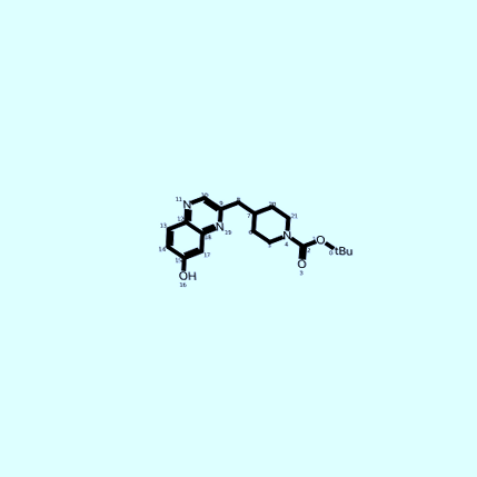 CC(C)(C)OC(=O)N1CCC(Cc2cnc3ccc(O)cc3n2)CC1